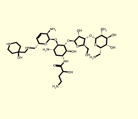 NCCC(O)C(=O)N[C@@H]1C[C@H](N)[C@@H](O[C@H]2O[C@H](CNCC3(O)CCNCC3)C=C[C@H]2N)[C@H](O[C@@H]2O[C@H](CO)[C@@H](O[C@H]3O[C@@H](CN)[C@@H](O)[C@H](O)[C@H]3N)[C@H]2O)[C@H]1O